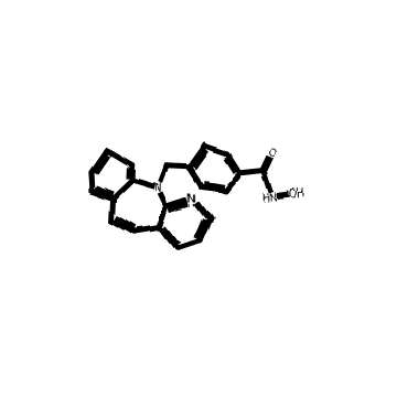 O=C(NO)c1ccc(CN2c3ccccc3C=Cc3cccnc32)cc1